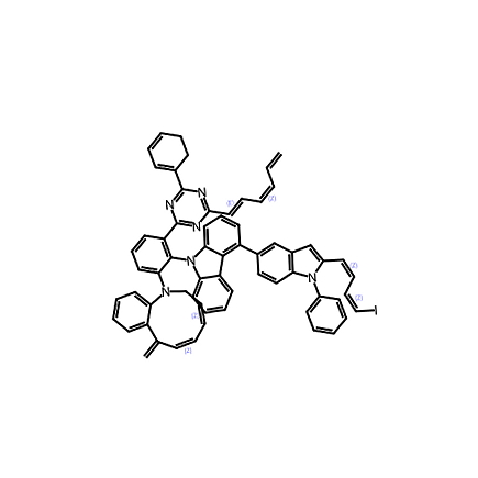 C=C/C=C\C=C\c1nc(C2=CC=CCC2)nc(-c2cccc(N3C/C=C\C=C/C(=C)c4ccccc43)c2-n2c3ccccc3c3c(-c4ccc5c(c4)cc(/C=C\C=C/I)n5-c4ccccc4)cccc32)n1